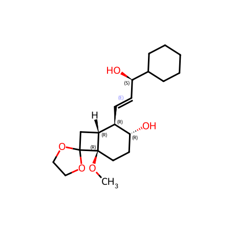 CO[C@]12CC[C@@H](O)[C@H](/C=C/[C@@H](O)C3CCCCC3)[C@H]1CC21OCCO1